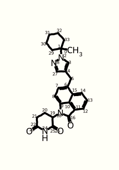 CC1(n2cc(Cc3ccc4c5c(cccc35)C(=O)N4C3CCC(=O)NC3=O)cn2)CCCCC1